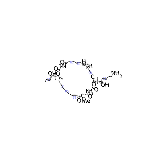 C/C=C/[C@H](O)C(C)(C)[C@@H]1C\C=C/C=C\C=C\[C@H](OC)Cc2nc(co2)C(=O)O[C@H](C(C)(C)[C@@H](O)/C=C/CCN)C/C=C\[C@H]2C[C@H]2/C=C/C=C\c2nc(co2)C(=O)O1